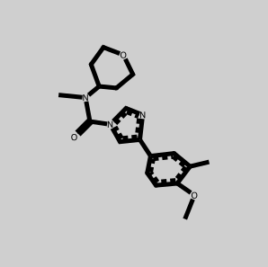 COc1ccc(-c2cn(C(=O)N(C)C3CCOCC3)cn2)cc1C